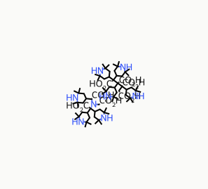 CC1(C)CC(C(C(=O)O)N(CC(=O)O)C(C(=O)O)(C2CC(C)(C)NC(C)(C)C2)C2CC(C)(C)NC(C)(C)C2)CC(C)(C)N1.CC1(C)CC(C(CC(=O)O)(C(=O)O)C(C(=O)O)(C2CC(C)(C)NC(C)(C)C2)C(C(=O)O)(C2CC(C)(C)NC(C)(C)C2)C2CC(C)(C)NC(C)(C)C2)CC(C)(C)N1